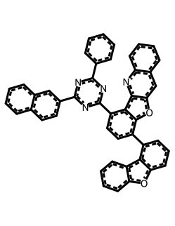 c1ccc(-c2nc(-c3ccc4ccccc4c3)nc(-c3ccc(-c4cccc5oc6ccccc6c45)c4oc5cc6ccccc6nc5c34)n2)cc1